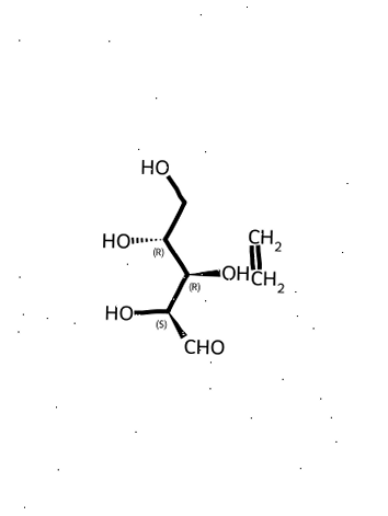 C=C.O=C[C@@H](O)[C@H](O)[C@H](O)CO